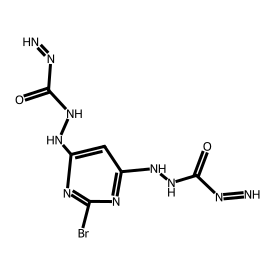 N=NC(=O)NNc1cc(NNC(=O)N=N)nc(Br)n1